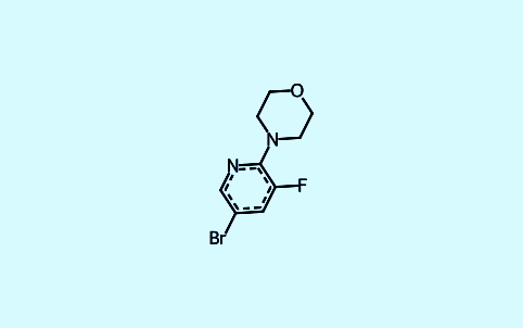 Fc1cc(Br)cnc1N1CCOCC1